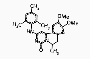 COc1cc2c(cc1OC)-c1cc(Nc3c(C)cc(C)cc3C)nc(=O)n1C(C)C2